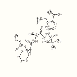 CC(C)CC[S+]([O-])CC1(NC(=O)N[C@H](C(=O)N2CC3[C@@H]([C@H]2C(=O)NC(CC2CC2)C(=O)C(N)=O)C3(C)C)C(C)(C)C)CCCCC1